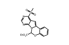 CCOC(=O)C1Oc2ccccc2-c2cc3c(S(C)(=O)=O)ncnc3n21